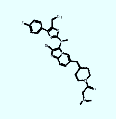 CCc1nc2ccc(CC3CCN(C(=O)CN(C)C)CC3)cn2c1N(C)c1nc(-c2ccc(F)cc2)c(CO)s1